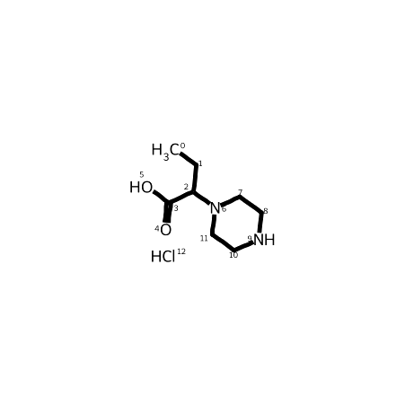 CCC(C(=O)O)N1CCNCC1.Cl